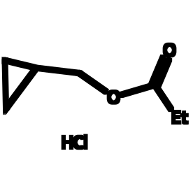 CCC(=O)OCC1CC1.Cl